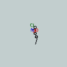 CCCCCCc1ccc(-c2ccc(OC(=O)C3(C#N)CCCC(Cl)C3)cc2)cc1